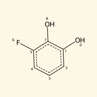 Oc1cccc(F)c1O